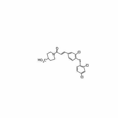 O=C(O)C1CCN(C(=O)/C=C/c2ccc(Sc3ccc(Cl)cc3Cl)c(Cl)c2)CC1